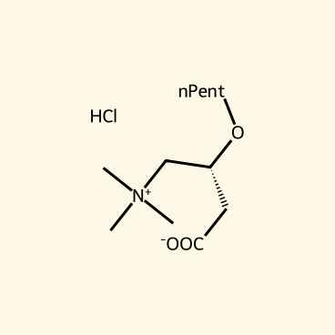 CCCCCO[C@H](CC(=O)[O-])C[N+](C)(C)C.Cl